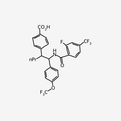 CCCC(c1ccc(C(=O)O)cc1)C(NC(=O)c1ccc(C(F)(F)F)cc1F)c1ccc(OC(F)(F)F)cc1